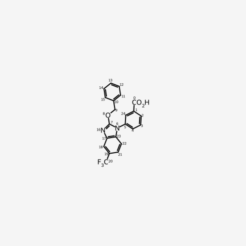 O=C(O)c1cccc(-n2c(OCc3ccccc3)nc3cc(C(F)(F)F)ccc32)c1